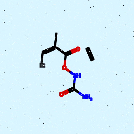 C=C.CCC=C(C)C(=O)ONC(N)=O